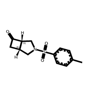 Cc1ccc(S(=O)(=O)N2C[C@@H]3CC(=O)[C@@H]3C2)cc1